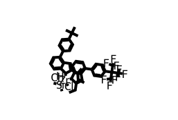 CCC1=Cc2c(-c3ccc(C(C(F)(F)F)(C(F)(F)F)C(F)(F)F)cc3)cccc2[CH]1[Zr]([Cl])([Cl])([CH]1C(C(C)CC)=Cc2c(-c3ccc(C(C)(C)C)cc3)cccc21)[SiH](C)C